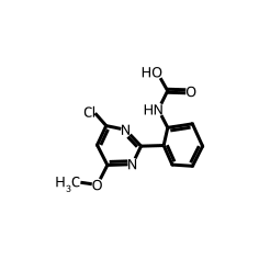 COc1cc(Cl)nc(-c2ccccc2NC(=O)O)n1